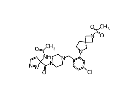 CC(=O)NC1(C(=O)N2CCN(Cc3ccc(Cl)cc3N3CCC4(C3)CN(S(C)(=O)=O)C4)CC2)C=CN=N1